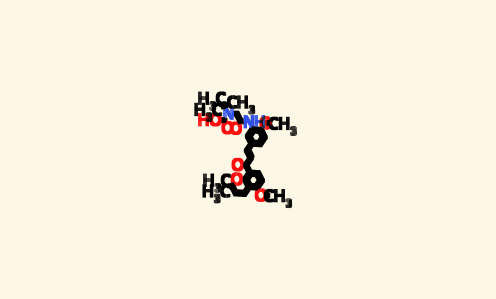 COc1ccc(C=CC(=O)c2ccc(OC)c3c2OC(C)(C)C=C3)cc1NC(=O)CN(C(=O)O)C(C)(C)C